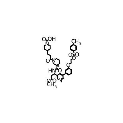 COC(=O)CC(NC(=O)[C@@H]1CCCN(C(=O)CCC2CCN(C(=O)O)CC2)C1)c1cncc(-c2cccc(OCCOS(=O)(=O)c3ccc(C)cc3)c2)c1